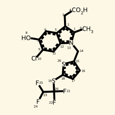 Cc1c(CC(=O)O)c2cc(O)c(Cl)cc2n1Cc1ccc(SC(F)(F)C(F)F)s1